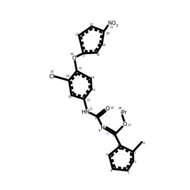 Cc1ccccc1/C(=N/C(=O)Nc1ccc(Oc2ccc([N+](=O)[O-])cc2)c(Cl)c1)OC(C)C